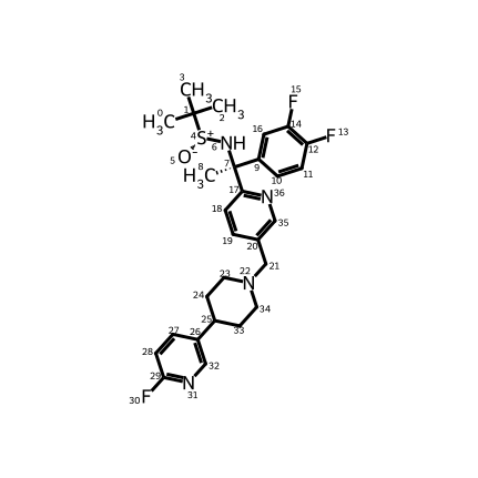 CC(C)(C)[S@@+]([O-])N[C@@](C)(c1ccc(F)c(F)c1)c1ccc(CN2CCC(c3ccc(F)nc3)CC2)cn1